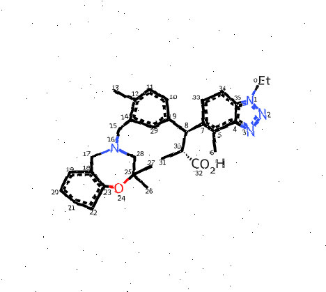 CCn1nnc2c(C)c([C@H](c3ccc(C)c(CN4Cc5ccccc5OC(C)(C)C4)c3)[C@@H](C)C(=O)O)ccc21